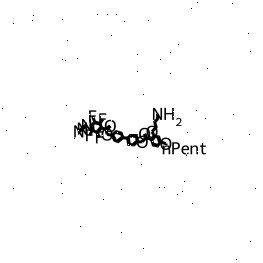 CCCCCOc1ccc(C(=O)Oc2ccc(-c3ccc(OC(=O)c4c(F)c(F)c(N=[N+]=[N-])c(F)c4F)cc3)cc2)c(OCCCN)c1